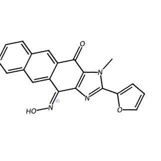 Cn1c(-c2ccco2)nc2c1C(=O)c1cc3ccccc3cc1/C2=N\O